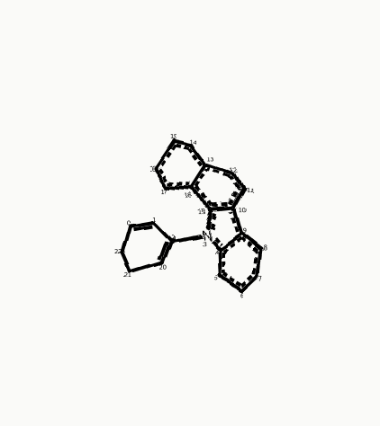 C1=CC(n2c3ccccc3c3ccc4ccccc4c32)=CCC1